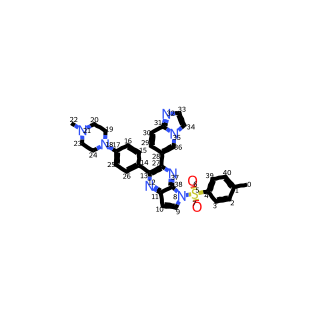 Cc1ccc(S(=O)(=O)n2ccc3nc(-c4ccc(N5CCN(C)CC5)cc4)c(-c4ccc5nccn5c4)nc32)cc1